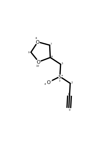 C#CC[S+]([O-])CC1COCO1